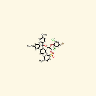 COc1ccc(C(OCC(COS(=O)(=O)c2ccc(C)cc2)Oc2c(Cl)cc(Br)cc2Cl)(c2ccccc2)c2ccc(OC)cc2)cc1